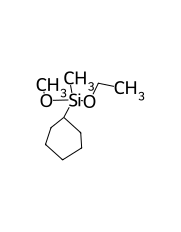 CCO[Si](C)(OC)C1CCCCC1